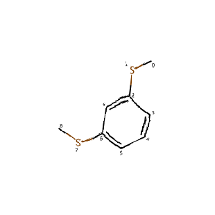 CSc1cccc(SC)c1